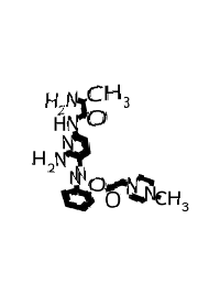 C[C@H](N)C(=O)Nc1ccc(/N=N/c2ccccc2OC(=O)CN2CCN(C)CC2)c(N)n1